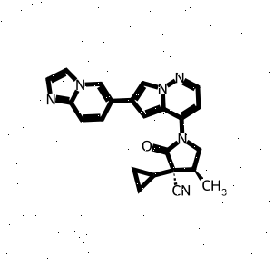 C[C@@H]1CN(c2ccnn3cc(-c4ccc5nccn5c4)cc23)C(=O)[C@]1(C#N)C1CC1